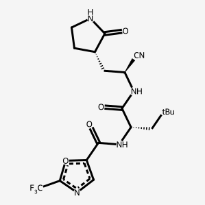 CC(C)(C)C[C@H](NC(=O)c1cnc(C(F)(F)F)o1)C(=O)N[C@H](C#N)C[C@@H]1CCNC1=O